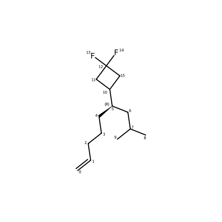 C=CCCC[C@H](CC(C)C)C1CC(F)(F)C1